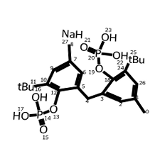 Cc1cc(Cc2cc(C)cc(C(C)(C)C)c2OP(=O)(O)O)c(OP(=O)(O)O)c(C(C)(C)C)c1.[NaH]